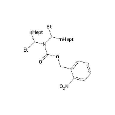 CCCCCCCC(CC)N(C(=O)OCc1ccccc1[N+](=O)[O-])C(CC)CCCCCCC